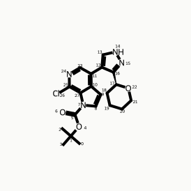 CC(C)(C)OC(=O)n1ccc2c(-c3c[nH]nc3[C@@H]3CCCCO3)cnc(Cl)c21